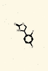 O=C1NC(c2ccc(F)cc2F)CO1